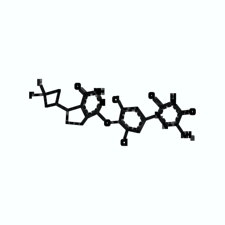 Nc1nn(-c2cc(Cl)c(Oc3n[nH]c(=O)c4c3CCC4C3CC(F)(F)C3)c(Cl)c2)c(=O)[nH]c1=O